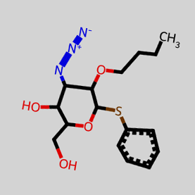 CCCCOC1C(Sc2ccccc2)OC(CO)C(O)C1N=[N+]=[N-]